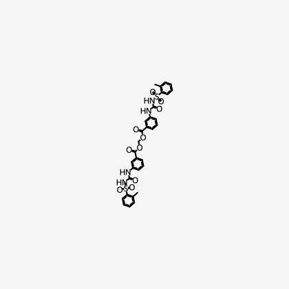 Cc1ccccc1S(=O)(=O)NC(=O)Nc1cccc(C(=O)OCOC(=O)c2cccc(NC(=O)NS(=O)(=O)c3ccccc3C)c2)c1